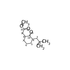 C=C(C)CC1CCCC(CC(=O)OC)C1=O